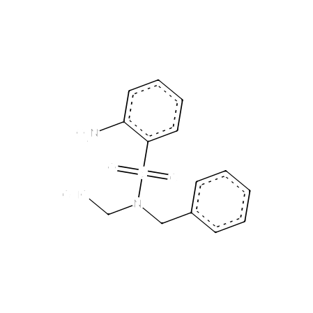 O=CCN(Cc1ccccc1)S(=O)(=O)c1ccccc1[N+](=O)[O-]